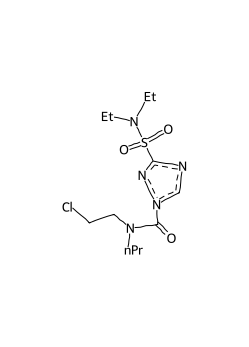 CCCN(CCCl)C(=O)n1cnc(S(=O)(=O)N(CC)CC)n1